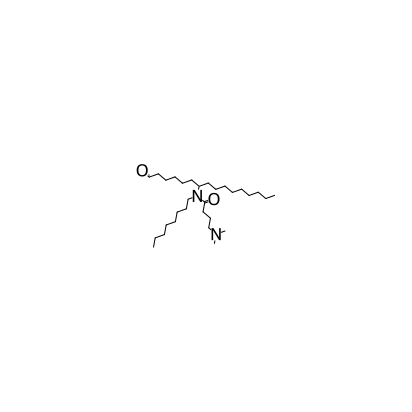 CCCCCCCCCC(CCCCCC=O)N(CCCCCCCC)C(=O)CCCN(C)C